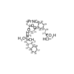 CC(C)CC(=O)O[C@@H](CNC(C)(C)CC1Cc2ccccc2C1)COc1cc(CCC(=O)O)ccc1C#N.Cl